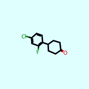 O=C1CCC(c2ccc(Cl)cc2F)CC1